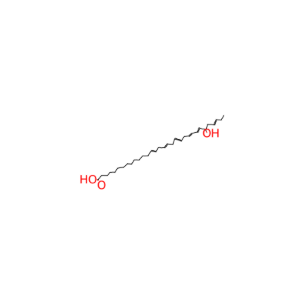 CCC=CCC(O)C=CC=CCC=CCC=CCC=CCCCCCCCCCCCCC(=O)O